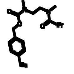 CC(C)C(=O)N(C)CCN(C)C(=O)OCc1ccc(C(C)(C)C)cc1